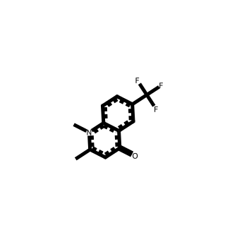 Cc1cc(=O)c2cc(C(F)(F)F)ccc2n1C